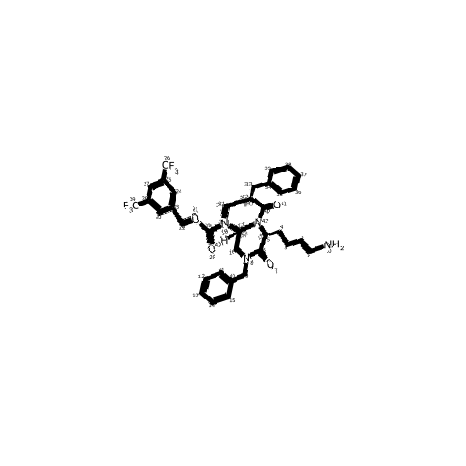 NCCCC[C@H]1C(=O)N(Cc2ccccc2)C[C@@H]2N(C(=O)OCc3cc(C(F)(F)F)cc(C(F)(F)F)c3)C[C@@H](Cc3ccccc3)C(=O)N21